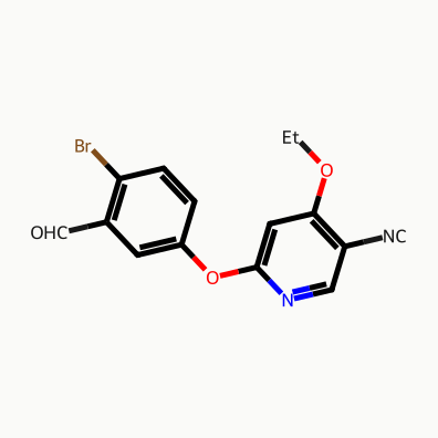 [C-]#[N+]c1cnc(Oc2ccc(Br)c(C=O)c2)cc1OCC